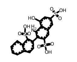 Nc1c(-c2ccc3ccccc3c2S(=O)(=O)O)c(S(=O)(=O)O)cc2cc(S(=O)(=O)O)cc(O)c12